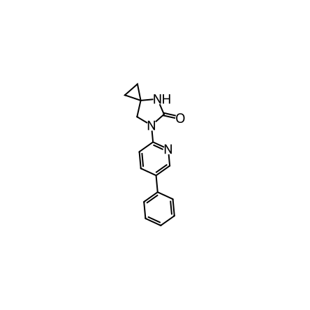 O=C1NC2(CC2)CN1c1ccc(-c2ccccc2)cn1